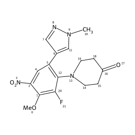 COc1c([N+](=O)[O-])cc(-c2cnn(C)c2)c(N2CCC(=O)CC2)c1F